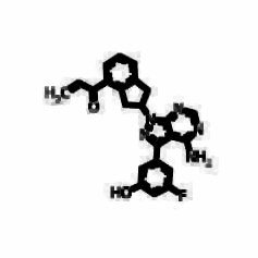 C=CC(=O)c1cccc2c1CC(n1nc(-c3cc(O)cc(F)c3)c3c(N)ncnc31)C2